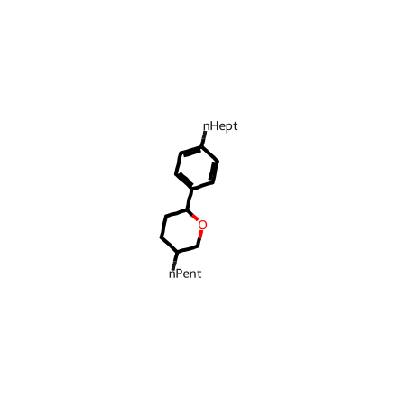 CCCCCCCc1ccc(C2CCC(CCCCC)CO2)cc1